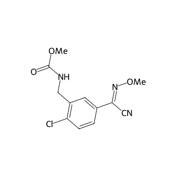 CON=C(C#N)c1ccc(Cl)c(CNC(=O)OC)c1